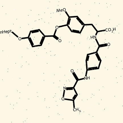 CCCCCCCOc1ccc(C(=O)Oc2ccc(CC(NC(=O)c3ccc(NC(=O)c4cc(C)on4)cc3)C(=O)O)cc2OC)cc1